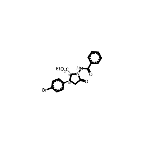 CCOC(=O)[C@H]1[C@H](c2ccc(Br)cc2)CC(=O)N1NC(=O)c1ccccc1